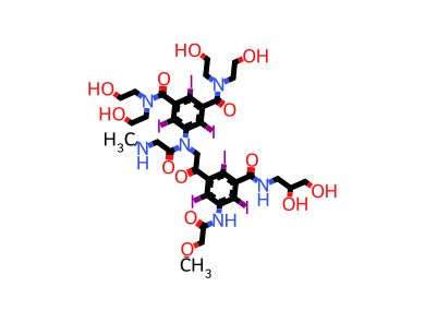 CNCC(=O)N(CC(=O)c1c(I)c(NC(=O)COC)c(I)c(C(=O)NCC(O)CO)c1I)c1c(I)c(C(=O)N(CCO)CCO)c(I)c(C(=O)N(CCO)CCO)c1I